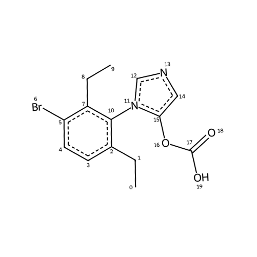 CCc1ccc(Br)c(CC)c1-n1cncc1OC(=O)O